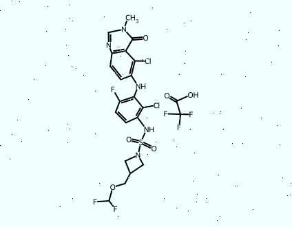 Cn1cnc2ccc(Nc3c(F)ccc(NS(=O)(=O)N4CC(COC(F)F)C4)c3Cl)c(Cl)c2c1=O.O=C(O)C(F)(F)F